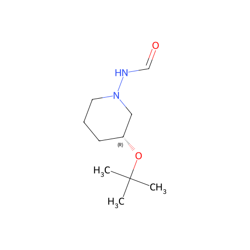 CC(C)(C)O[C@@H]1CCCN(NC=O)C1